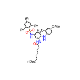 CCCCCCCCCCCCCCCC(=O)Nc1cc(NS(=O)(=O)c2c(C(C)C)cc(C(C)C)cc2C(C)C)ccc1Nc1ccc(OC)cc1C